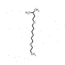 CCCOCCCCCCOCCC(C)C